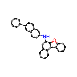 c1ccc(-c2ccc3cc(Nc4cc5ccccc5c5c4oc4ccccc45)ccc3c2)cc1